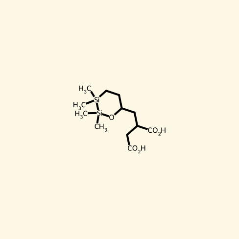 C[Si]1(C)CCC(CC(CC(=O)O)C(=O)O)O[Si]1(C)C